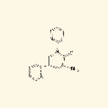 Bc1cc(-c2ccccn2)cn(-c2ccccn2)c1=O